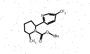 CC1CCCC(c2ccc(C(F)(F)F)cn2)N1C(=O)OC(C)(C)C